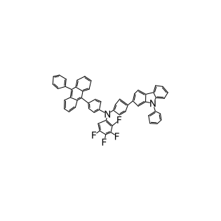 Fc1cc(N(c2ccc(-c3ccc4c5ccccc5n(-c5ccccc5)c4c3)cc2)c2ccc(-c3c4ccccc4c(-c4ccccc4)c4ccccc34)cc2)c(F)c(F)c1F